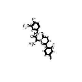 CC(C(=O)Nc1ccc(F)c(C(F)(F)F)c1)N1N=C(c2ccc(F)cc2F)CCC1=O